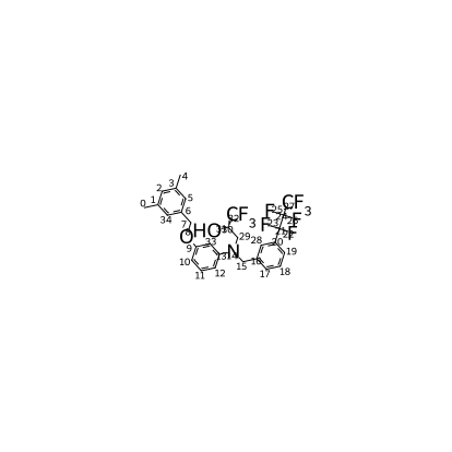 Cc1cc(C)cc(COc2cccc(N(Cc3cccc(C(F)(F)C(F)(F)C(F)(F)F)c3)C[C@@H](O)C(F)(F)F)c2)c1